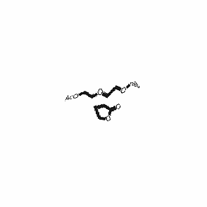 CCCCOCCOCCOC(C)=O.O=C1CCCO1